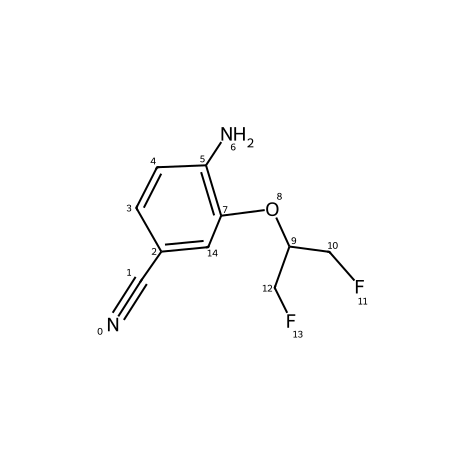 N#Cc1ccc(N)c(OC(CF)CF)c1